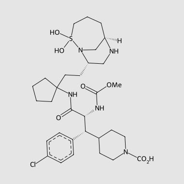 COC(=O)N[C@@H](C(=O)NC1(CC[C@H]2CN[C@@H]3CCCS(O)(O)N2C3)CCCC1)[C@@H](c1ccc(Cl)cc1)C1CCN(C(=O)O)CC1